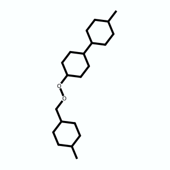 CC1CCC(COOC2CCC(C3CCC(C)CC3)CC2)CC1